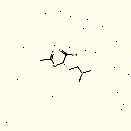 CC(=O)N[C@@H](CC[S+](C)C)C(=O)O